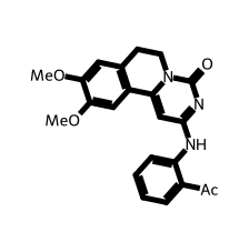 COc1cc2c(cc1OC)-c1cc(Nc3ccccc3C(C)=O)nc(=O)n1CC2